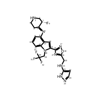 F[C@H]1CNCC/C1=N\c1cccc2c1cc(-c1noc(CNc3ccn[nH]3)n1)n2CC(F)(F)F